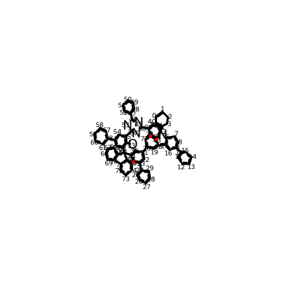 C1=CCCC(n2c3ccc(-c4ccccc4)cc3c3cc(-c4cc(-c5ccccc5)cc5c4Oc4c(-c6nc(-c7ccccc7)nc(-c7ccccc7)n6)cc(-c6ccccc6)cc4C54c5ccccc5-c5ccccc54)ccc32)=C1